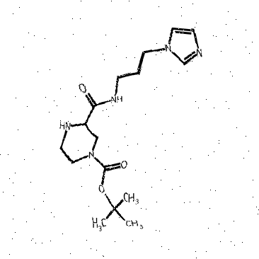 CC(C)(C)OC(=O)N1CCNC(C(=O)NCCCn2ccnc2)C1